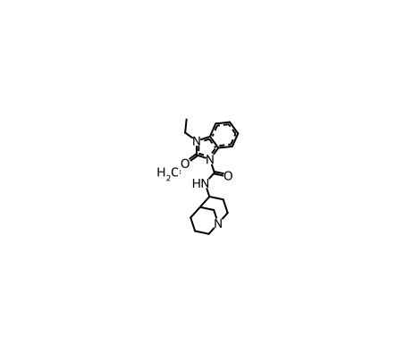 CCn1c(=O)n(C(=O)NC2CCN3CCCC2C3)c2ccccc21.[CH2]